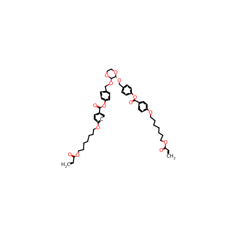 C=CC(=O)OCCCCCCCOc1ccc(C(=O)Oc2ccc(CO[C@H]3OCCO[C@@H]3OCc3ccc(OC(=O)c4ccc(OCCCCCCCOC(=O)C=C)cc4)cc3)cc2)cc1